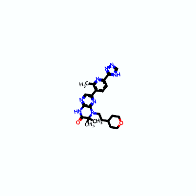 Cc1nc(-c2nnc[nH]2)ccc1-c1cnc2c(n1)N(CCC1CCOCC1)C(C)(C)C(=O)N2